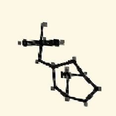 CS(=O)(=O)CC1CC2CCC(C1)N2